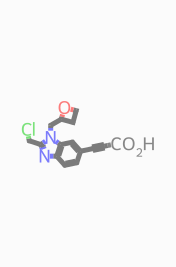 O=C(O)C#Cc1ccc2nc(CCl)n(CC3CCO3)c2c1